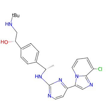 C[C@H](Nc1nccc(-c2cnc3c(Cl)cccn23)n1)c1ccc([C@H](O)CNC(C)(C)C)cc1